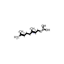 CC(C)=CCC/C(C)=C/COB(O)O